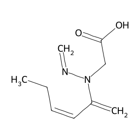 C=NN(CC(=O)O)C(=C)/C=C\CC